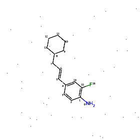 Nc1ccc(C=CCC2CCCCC2)cc1F